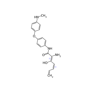 C=C/C=C\C(O)=C(/N)C(=O)Nc1ccc(Oc2ccc(NC)cc2)cc1